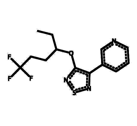 CCC(CCC(F)(F)F)Oc1nsnc1-c1cccnc1